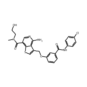 CN(CCO)C(=O)c1cnc(N)c2c(COc3cccc(C(=O)Nc4ccc(Cl)cc4)c3)csc12